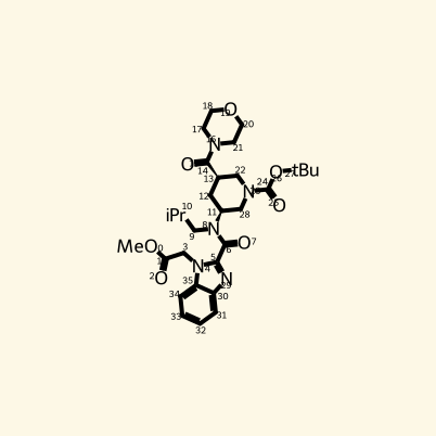 COC(=O)Cn1c(C(=O)N(CC(C)C)[C@H]2C[C@@H](C(=O)N3CCOCC3)CN(C(=O)OC(C)(C)C)C2)nc2ccccc21